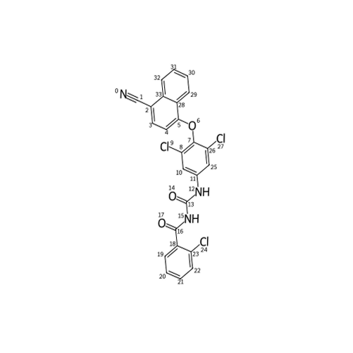 N#Cc1ccc(Oc2c(Cl)cc(NC(=O)NC(=O)c3ccccc3Cl)cc2Cl)c2ccccc12